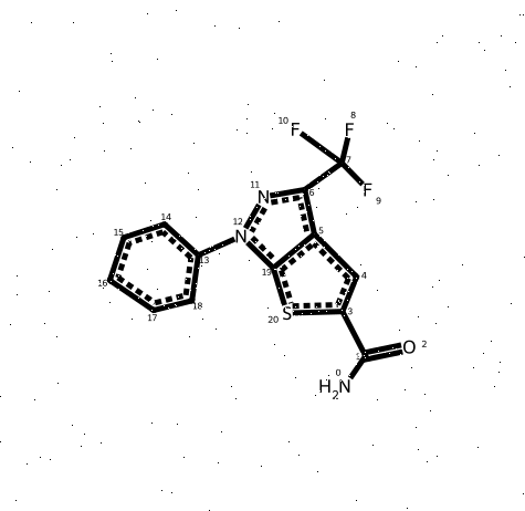 NC(=O)c1cc2c(C(F)(F)F)nn(-c3ccccc3)c2s1